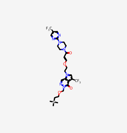 C[Si](C)(C)CCOCn1ncc2c(c(C(F)(F)F)cn2CCOC=CC(=O)N2CCN(c3ncc(C(F)(F)F)cn3)CC2)c1=O